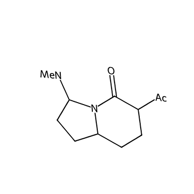 CNC1CCC2CCC(C(C)=O)C(=O)N21